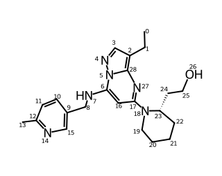 CCc1cnn2c(NCc3ccc(C)nc3)cc(N3CCCC[C@H]3CCO)nc12